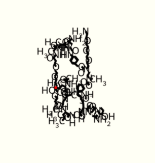 CC[C@H](C)[C@@H]1NC(=O)CNC(=O)[C@H](NC(=O)[C@@H](NC(C)=O)[C@@H](C)[C@@H](O)CO)Cc2c([nH]c3cc(OC(=O)N(C)CCN(CCOCCOCCOCCN)C(=O)OCc4ccc(NC(=O)[C@H](CC(N)=O)NC(=O)[C@H](C)NC(=O)[C@H](C)NC(=O)CCOCCOCCOCCOCCOC)cc4)ccc23)[S+]([O-])C[C@@H](C(=O)N[C@@H](CC(N)=O)C(=O)N2CC[C@@H](O)C2)NC(=O)CNC1=O